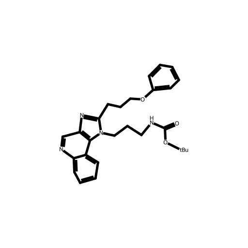 CC(C)(C)OC(=O)NCCCn1c(CCCOc2ccccc2)nc2cnc3ccccc3c21